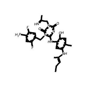 CC/C=C(\C)Nc1cc(Nc2nc(=O)n(CC(C)=N)c(=O)n2Cc2cc(F)c(P)cc2F)c(O)cc1C